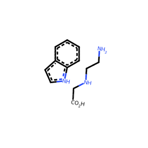 NCCNCC(=O)O.c1ccc2[nH]ccc2c1